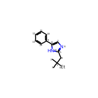 CCC(C)(C)Cc1ncc(-c2ccccc2)[nH]1